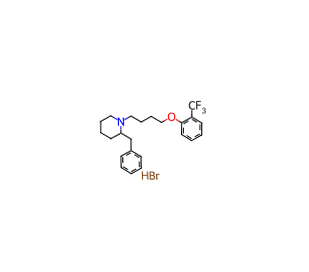 Br.FC(F)(F)c1ccccc1OCCCCN1CCCCC1Cc1ccccc1